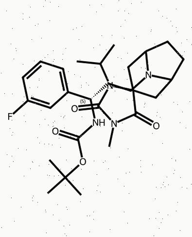 CC(C)N1C(=O)N(C)C(=O)C12CC1CCC(C2)N1CC[C@H](NC(=O)OC(C)(C)C)c1cccc(F)c1